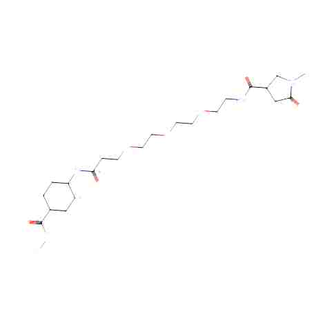 CN1CC(C(=O)NCCOCCOCCOCCC(=O)NC2CCC(C(=O)OC(C)(C)C)CC2)CC1=O